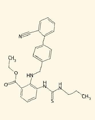 CCCNC(=S)Nc1cccc(C(=O)OCC)c1NCc1ccc(-c2ccccc2C#N)cc1